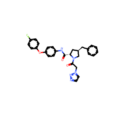 O=C(Nc1ccc(Oc2ccc(F)cc2)cc1)[C@@H]1C[C@@H](Cc2ccccc2)CN1C(=O)Cn1ccnn1